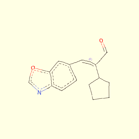 O=C/C(=C/c1ccc2ncoc2c1)C1CCCC1